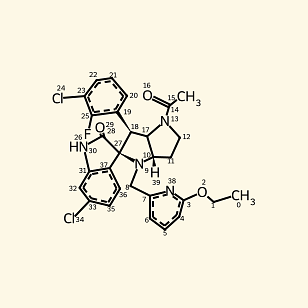 CCOc1cccc(CN2[C@H]3CCN(C(C)=O)C3[C@H](c3cccc(Cl)c3F)[C@]23C(=O)Nc2cc(Cl)ccc23)n1